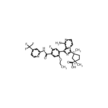 CCOc1cc(C(=O)Nc2cc(C(F)(F)F)ccn2)c(F)cc1-c1nc([C@@]2(C)CC[C@](C)(C(=O)O)C2)n2ccnc(N)c12